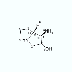 N[C@H]1C(O)CN2CCC[C@H]12